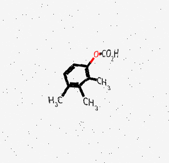 Cc1ccc(OC(=O)O)c(C)c1C